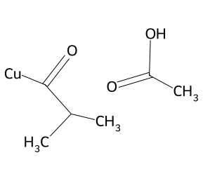 CC(=O)O.CC(C)[C](=O)[Cu]